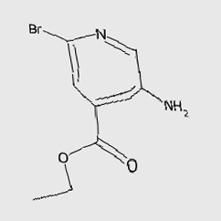 CCOC(=O)c1cc(Br)ncc1N